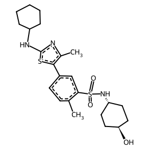 Cc1ccc(-c2sc(NC3CCCCC3)nc2C)cc1S(=O)(=O)N[C@H]1CC[C@H](O)CC1